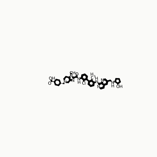 Cc1c(Nc2nccc3cc(CN[C@H]4CCC[C@@H]4O)cnc23)cccc1-c1cccc(NC(=O)c2nc3c(n2C)CCN(C[C@H]2CC[C@H](C(=O)O)CC2)C3)c1Cl